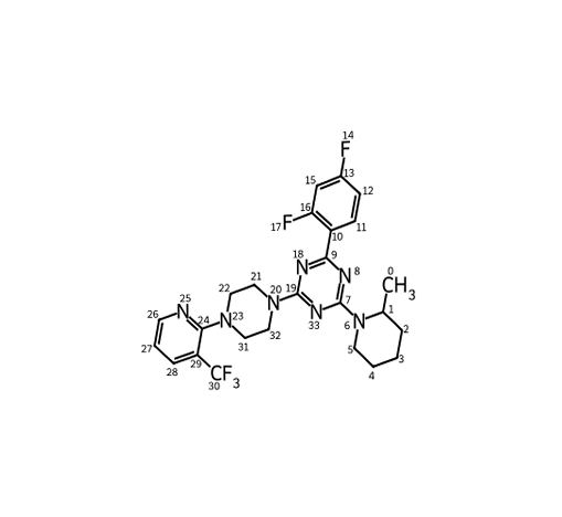 CC1CCCCN1c1nc(-c2ccc(F)cc2F)nc(N2CCN(c3ncccc3C(F)(F)F)CC2)n1